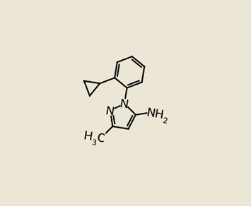 Cc1cc(N)n(-c2ccccc2C2CC2)n1